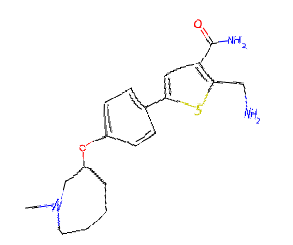 CN1CCCCC(Oc2ccc(-c3cc(C(N)=O)c(CN)s3)cc2)C1